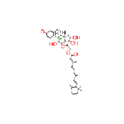 CC1=C(/C=C/C(C)=C/C=C/C(C)=C/C(=O)OCC(=O)[C@@]2(O)[C@H](O)C[C@H]3[C@@H]4CCC5=CC(=O)C=C[C@]5(C)[C@@]4(F)[C@@H](O)C[C@@]32C)C(C)(C)CCC1